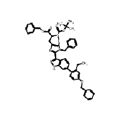 CCc1cc(OCc2ccccc2)ccc1-c1ccc2c(-c3nc4c(n3Cc3ccccc3)CN(C(=O)OC(C)(C)C)C(C(=O)OCc3ccccc3)C4)n[nH]c2c1